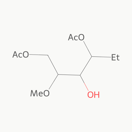 CCC(OC(C)=O)C(O)C(COC(C)=O)OC